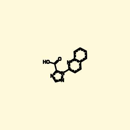 O=C(O)c1ncnn1-c1ccc2ccccc2n1